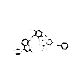 CNC(=O)[C@@H]1C[C@@H](OCc2ccccc2)CN1S(=O)(=O)c1ccc(Cl)c(COc2cccc3c(-n4ccnc4)cc(C)nc23)c1Cl